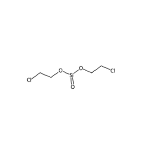 O=[Si](OCCCl)OCCCl